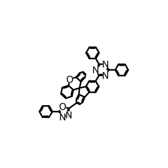 c1ccc(-c2nc(-c3ccccc3)nc(-c3ccc4c(c3)C3(c5ccccc5Oc5ccccc53)c3cc(-c5nnc(-c6ccccc6)o5)ccc3-4)n2)cc1